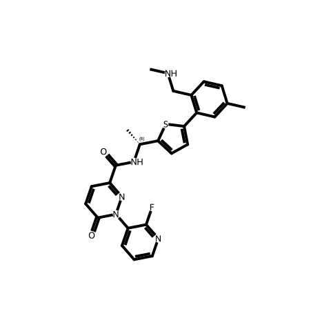 CNCc1ccc(C)cc1-c1ccc([C@@H](C)NC(=O)c2ccc(=O)n(-c3cccnc3F)n2)s1